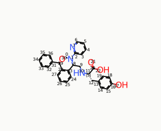 CN(c1ccccn1)C(CN[C@@H](Cc1ccc(O)cc1)C(=O)O)c1ccccc1C(=O)c1ccccc1